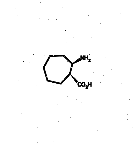 N[C@@H]1CCCCC[C@H]1C(=O)O